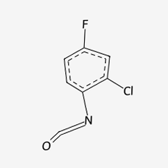 O=C=Nc1ccc(F)cc1Cl